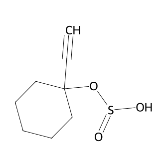 C#CC1(OS(=O)O)CCCCC1